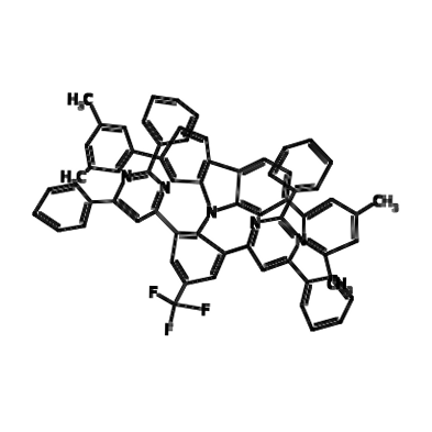 Cc1cc(C)cc(-c2ccc3c4ccc(-c5cc(C)cc(C)c5)cc4n(-c4c(-c5cc(-c6ccccc6)nc(-c6ccccc6)n5)cc(C(F)(F)F)cc4-c4cc(-c5ccccc5)nc(-c5ccccc5)n4)c3c2)c1